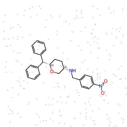 O=[N+]([O-])c1ccc(CN[C@H]2CC[C@@H](C(c3ccccc3)c3ccccc3)OC2)cc1